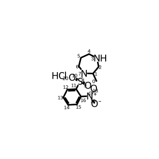 CC1CNCCCN1S(=O)(=O)c1ccccc1[N+](=O)[O-].Cl